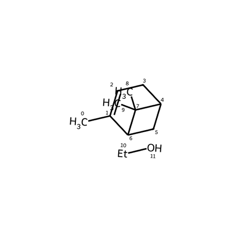 CC1=CCC2CC1C2(C)C.CCO